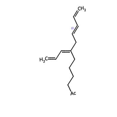 C=CC=C(C/C=C/C=C)CCCCC(C)=O